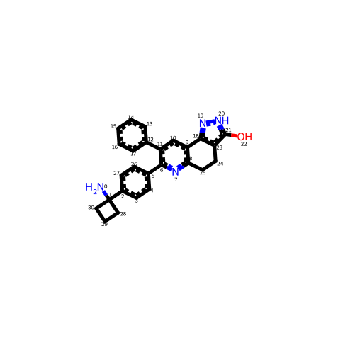 NC1(c2ccc(-c3nc4c(cc3-c3ccccc3)-c3n[nH]c(O)c3CC4)cc2)CCC1